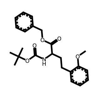 COc1ccccc1CCC(NC(=O)OC(C)(C)C)C(=O)OCc1ccccc1